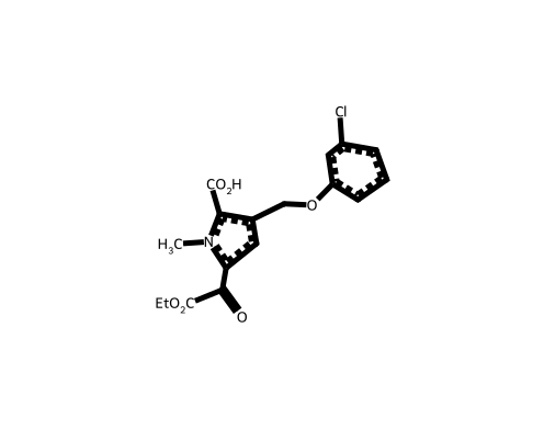 CCOC(=O)C(=O)c1cc(COc2cccc(Cl)c2)c(C(=O)O)n1C